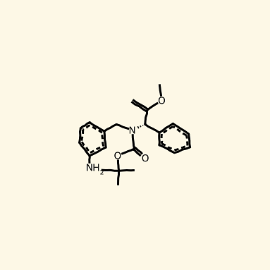 C=C(OC)[C@H](c1ccccc1)N(Cc1cccc(N)c1)C(=O)OC(C)(C)C